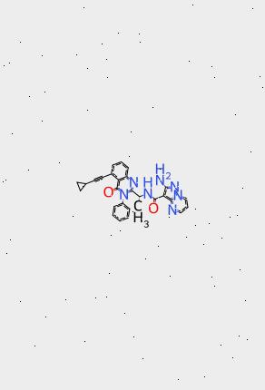 C[C@@H](NC(=O)c1c(N)nn2cccnc12)c1nc2cccc(C#CC3CC3)c2c(=O)n1-c1ccccc1